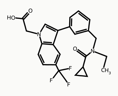 CCN(Cc1cccc(-c2cn(CC(=O)O)c3ccc(C(F)(F)F)cc23)c1)C(=O)C1CC1